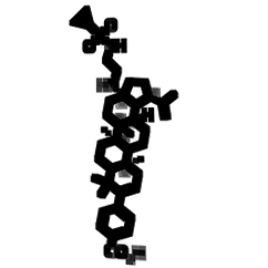 C=C(C)[C@@H]1CC[C@]2(NCCNS(=O)(=O)C3CC3)CC[C@]3(C)[C@H](CCC4[C@@]5(C)CC=C(c6ccc(C(=O)O)cc6)C(C)(C)C5CC[C@]43C)C12